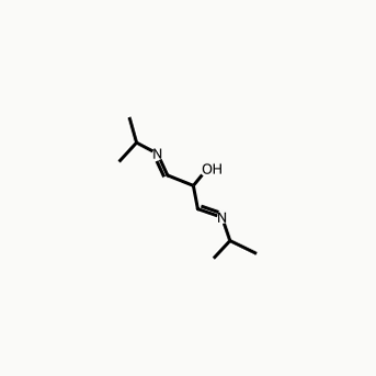 CC(C)/N=C/C(O)/C=N/C(C)C